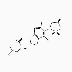 CC(C)CN(C[C@H]1Cc2c(cc(O)c(N3CC(=O)NS3(=O)=O)c2F)O1)C(=O)O